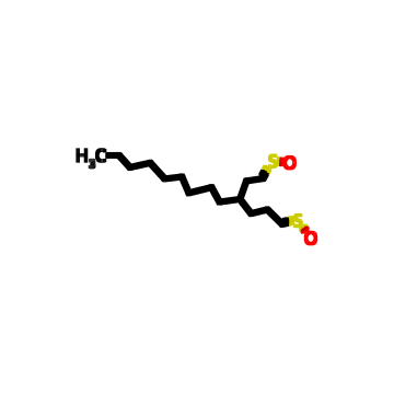 CCCCCCCCCC(CC=S=O)CCC=S=O